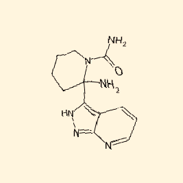 NC(=O)N1CCCCC1(N)c1[nH]nc2ncccc12